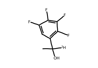 [2H]C(C)(O)c1cc(F)c(F)c(F)c1F